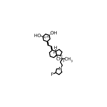 CC(CCN1CCC(F)C1)[C@H]1CC[C@H]2C(=CC=C3C[C@@H](O)C[C@H](O)C3)CCC[C@]12C